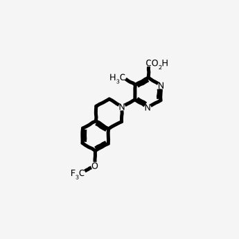 Cc1c(C(=O)O)ncnc1N1CCc2ccc(OC(F)(F)F)cc2C1